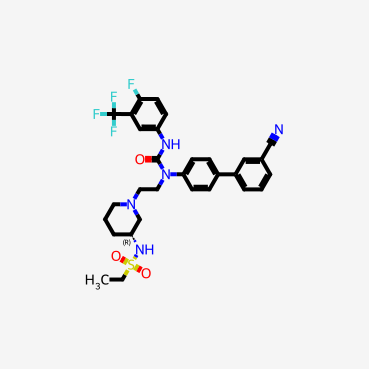 CCS(=O)(=O)N[C@@H]1CCCN(CCN(C(=O)Nc2ccc(F)c(C(F)(F)F)c2)c2ccc(-c3cccc(C#N)c3)cc2)C1